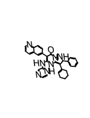 O=C1C(c2ccc3ncccc3c2)=C(Nc2cnccn2)NC2=C(C3=CCCCC3)C(c3ccccc3)NN12